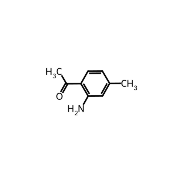 CC(=O)c1ccc(C)cc1N